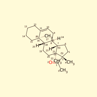 CC(=O)[C@@]1(C)CC[C@H]2[C@@H]3CC=C4CCCC[C@]4(C)[C@H]3CC[C@@]21C